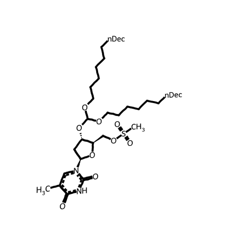 CCCCCCCCCCCCCCCCOC(OCCCCCCCCCCCCCCCC)O[C@H]1C[C@H](n2cc(C)c(=O)[nH]c2=O)O[C@@H]1COS(C)(=O)=O